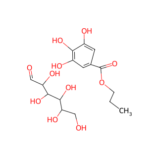 CCCOC(=O)c1cc(O)c(O)c(O)c1.O=CC(O)C(O)C(O)C(O)CO